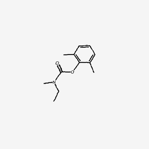 CCN(C)C(=O)Oc1c(C)cccc1C